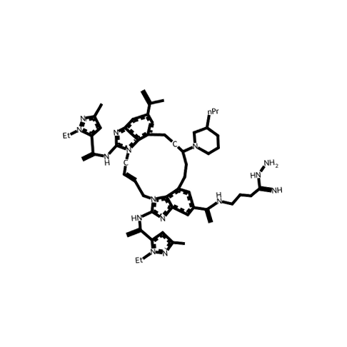 C=C(C)c1cc2c3c(c1)nc(NC(=C)c1cc(C)nn1CC)n3C/C=C/Cn1c(NC(=C)c3cc(C)nn3CC)nc3cc(C(=C)NCCCC(=N)NN)cc(c31)CCC(N1CCCC(CCC)C1)CC2